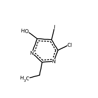 CCc1nc(O)c(I)c(Cl)n1